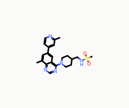 Cc1cc(-c2cc(C)c3ncnc(N4CCC(CNS(C)(=O)=O)CC4)c3c2)ccn1